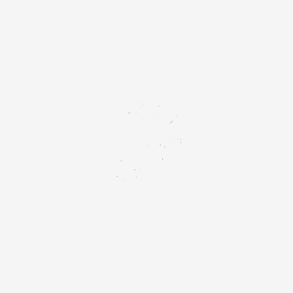 Cc1ccc(-c2ccc3c4ccccc4c4ccccc4c3c2)s1